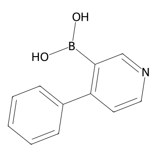 OB(O)c1cnccc1-c1ccccc1